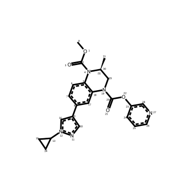 COC(=O)N1c2ccc(-c3cnn(C4CC4)c3)cc2N(C(=O)Oc2cccnc2)C[C@@H]1C